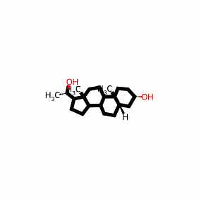 C[C@H](O)C1CCC2C3CC[C@H]4C[C@@H](O)CCC4(C)C3CCC21C